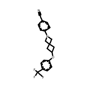 N#Cc1ccc(N2CC3(CC(Oc4ccc(C(F)(F)F)cc4)C3)C2)cc1